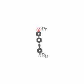 CCCCc1ccc(C#C[C@H]2CC[C@H](c3ccc(OCCC)cc3)CC2)cc1